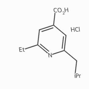 CCc1cc(C(=O)O)cc(CC(C)C)n1.Cl